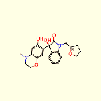 CN1CCOc2cc(C3(O)C(=O)N(C[C@H]4CCCO4)c4ccccc43)c(O)cc21